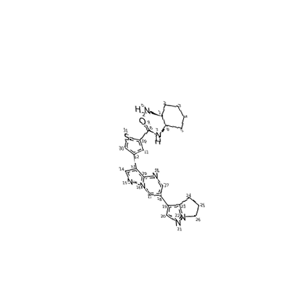 N[C@H]1CCCC[C@H]1NC(=O)c1cc(-c2cnn3cc(-c4cnn5c4CCC5)cnc23)cs1